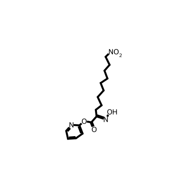 O=C(Oc1ccccn1)/C(CCCCCCCCC[N+](=O)[O-])=N/O